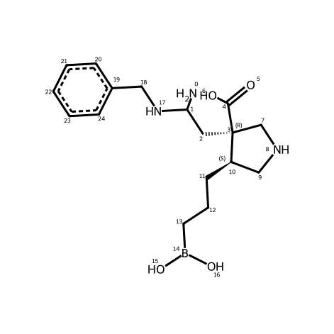 NC(C[C@]1(C(=O)O)CNC[C@H]1CCCB(O)O)NCc1ccccc1